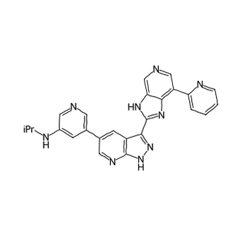 CC(C)Nc1cncc(-c2cnc3[nH]nc(-c4nc5c(-c6ccccn6)cncc5[nH]4)c3c2)c1